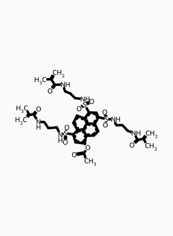 C=C(C)C(=O)NCCCNS(=O)(=O)c1cc(OC(C)=O)c2ccc3c(S(=O)(=O)NCCCNC(=O)C(=C)C)cc(S(=O)(=O)NCCCNC(=O)C(=C)C)c4ccc1c2c34